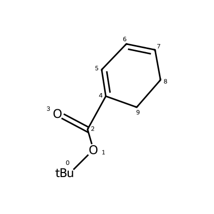 CC(C)(C)OC(=O)C1=CC=CCC1